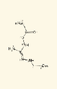 CCCCCCCCCCCNN=C(N)NOC(=O)CCCCCCCCC